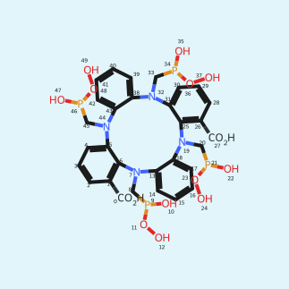 O=C(O)c1cccc2c1N(CP(O)OO)c1ccccc1N(CP(O)OO)c1c(C(=O)O)cccc1N(CP(O)OO)c1ccccc1N2CP(O)OO